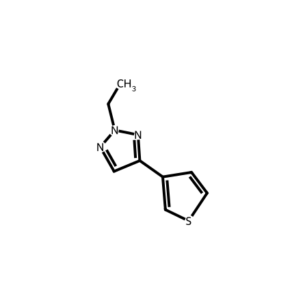 CCn1ncc(-c2ccsc2)n1